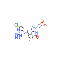 Cc1cc(C(C)Nc2ccc(Cl)nc2-c2ncn(C)n2)c2c(c1)c(=O)n(C)c1c2cnn1C1CN(S(C)(=O)=O)C1